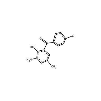 Cc1cc(N)c(O)c(C(=O)c2ccc(Cl)cc2)c1